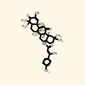 CC1(C)CC[C@]2(NC(=O)/C=C(\C#N)c3ccc(C(F)(F)F)cc3)CC[C@]3(C)[C@H](C(=O)C=C4[C@@]5(C)C=C(C#N)C(=O)C(C)(C)C5CC[C@]43C)[C@@H]2C1